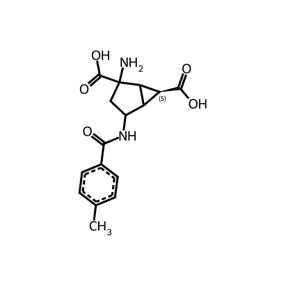 Cc1ccc(C(=O)NC2CC(N)(C(=O)O)C3C2[C@@H]3C(=O)O)cc1